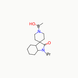 CB(O)N1CCC2(CC1)C(=O)N(C(C)C)C1CCCCC12